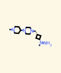 CN1CCC(N2CCN(C[C@H]3C[C@@H](N(C)N)C3)CC2)CC1